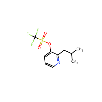 CC(C)Cc1ncccc1OS(=O)(=O)C(F)(F)F